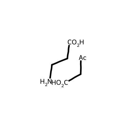 CC(=O)CC(=O)O.NCCC(=O)O